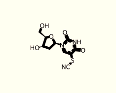 N#CSc1cn([C@H]2C[C@H](O)[C@@H](CO)O2)c(=O)[nH]c1=O